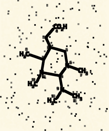 CC1C(CC(=O)O)CN(C)C(N(C)C)N1C